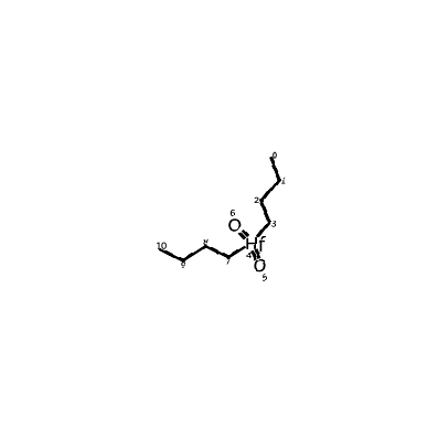 CCC[CH2][Hf](=[O])(=[O])[CH2]CCC